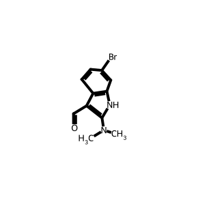 CN(C)c1[nH]c2cc(Br)ccc2c1C=O